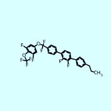 CCCc1ccc(-c2ccc(-c3ccc(C(F)(F)Oc4cc(F)c(OC(F)(F)F)c(F)c4)cc3)c(F)c2F)cc1